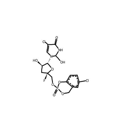 O=C1NC(O)N([C@@H]2O[C@](F)(COP3(=O)OCc4cc(Cl)ccc4O3)C[C@H]2O)C=C1Cl